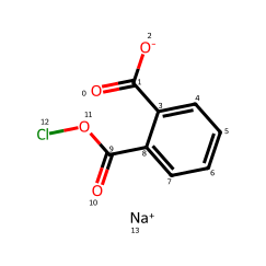 O=C([O-])c1ccccc1C(=O)OCl.[Na+]